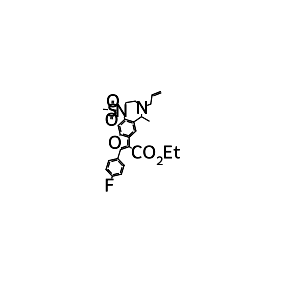 C=CCN1CCN(S(C)(=O)=O)c2cc3oc(-c4ccc(F)cc4)c(C(=O)OCC)c3cc2C1C